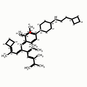 C=C(C)/C(C)=C/C(=N\C)C(=C/C(C)=C1CCC1)/N=C(\C(C)=C/C(=C\C)N1CCC(NCCC2CCC2)CC1)C(C)CC